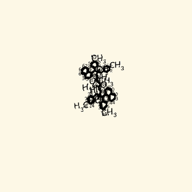 Cc1ccc(CC(O)(CNC(=O)C(C)(C)C(=O)NCC(O)(Cc2ccc(C)cc2)C(c2ccc(C)cc2)c2cccc3ccccc23)C(c2ccc(C)cc2)c2cccc3ccccc23)cc1